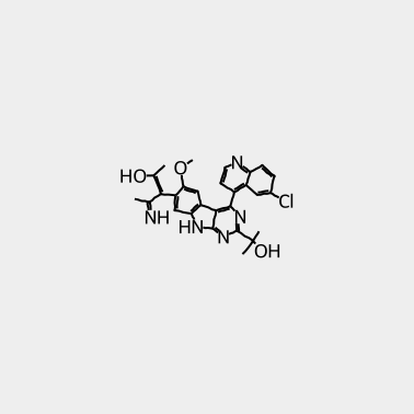 COc1cc2c(cc1/C(C(C)=N)=C(\C)O)[nH]c1nc(C(C)(C)O)nc(-c3ccnc4ccc(Cl)cc34)c12